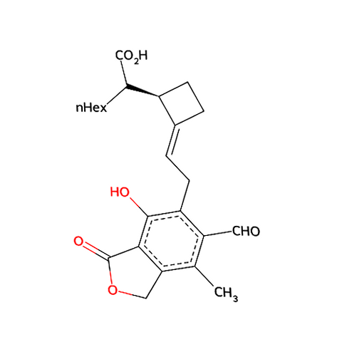 CCCCCCC(C(=O)O)[C@H]1CCC1=CCc1c(O)c2c(c(C)c1C=O)COC2=O